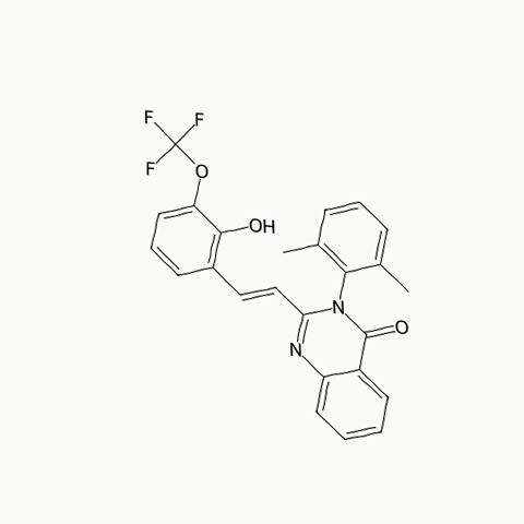 Cc1cccc(C)c1-n1c(/C=C/c2cccc(OC(F)(F)F)c2O)nc2ccccc2c1=O